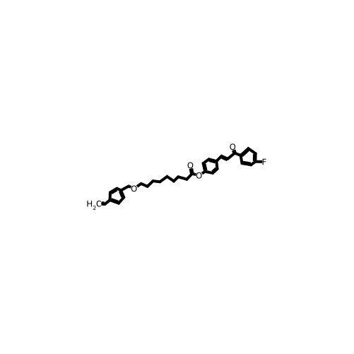 C=Cc1ccc(COCCCCCCCCC(=O)Oc2ccc(C=CC(=O)c3ccc(F)cc3)cc2)cc1